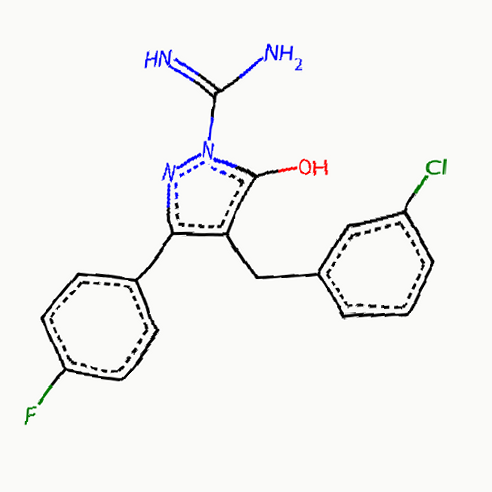 N=C(N)n1nc(-c2ccc(F)cc2)c(Cc2cccc(Cl)c2)c1O